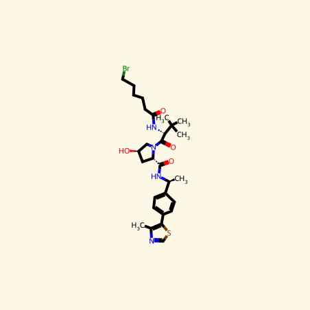 Cc1ncsc1-c1ccc([C@H](C)NC(=O)[C@@H]2C[C@@H](O)CN2C(=O)[C@H](NC(=O)CCCCCBr)C(C)(C)C)cc1